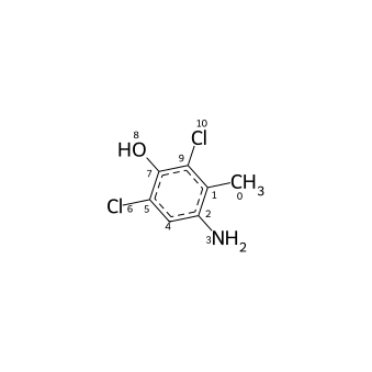 Cc1c(N)cc(Cl)c(O)c1Cl